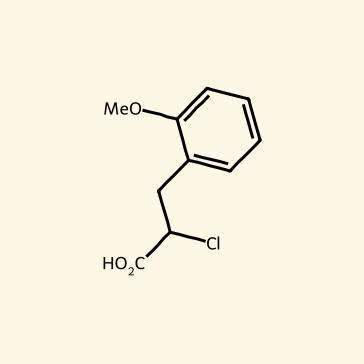 COc1ccccc1CC(Cl)C(=O)O